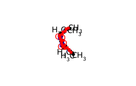 CC(C)=CCC/C(C)=C/CCC1=CCC2=C(C1)C(=O)N(Cc1cccc(CN3C(=O)C4=C(CC(CC/C=C(\C)CCC=C(C)C)=CC4)C3=O)c1)C2=O